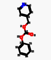 O=C(OCc1ccncc1)Oc1ccccc1